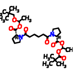 CC(OCC(C)(C)C)OC(=O)[C@H]1CCCN1C(=O)CCCCC(=O)N1CCC[C@@H]1C(=O)OC(C)OC(=O)C(C)(C)C